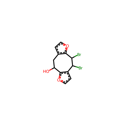 OC1Cc2ccoc2C(Br)C(Br)c2ccoc21